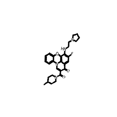 CC1CCN(C(=O)c2cn3c4c(c(NCCN5CCCC5)c(F)cc4c2=O)Oc2ccccc2-3)CC1